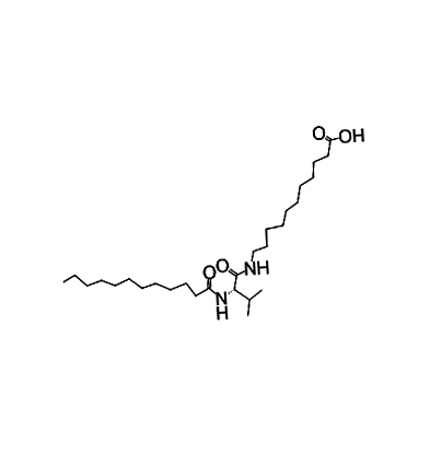 CCCCCCCCCCCC(=O)N[C@H](C(=O)NCCCCCCCCCCC(=O)O)C(C)C